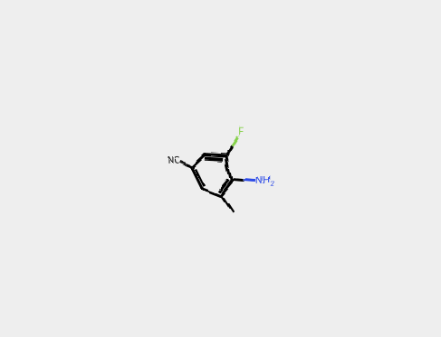 Cc1cc(C#N)cc(F)c1N